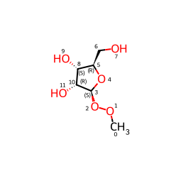 COO[C@@H]1O[C@H](CO)[C@@H](O)[C@H]1O